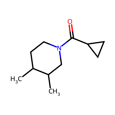 CC1CCN(C(=O)C2CC2)CC1C